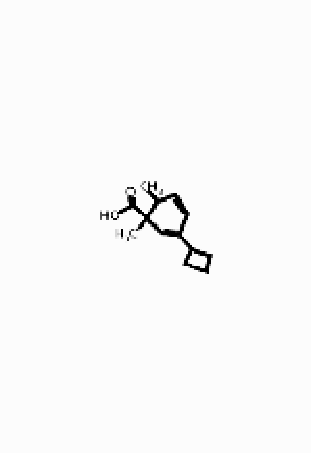 CC1C=CC(C2CCC2)=CC1(C)C(=O)O